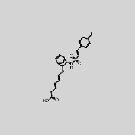 O=C(O)CCCC=CCC1C2C=CC(C2)C1NS(=O)(=O)C=Cc1ccc(I)cc1